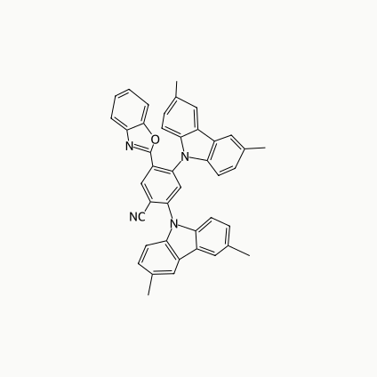 Cc1ccc2c(c1)c1cc(C)ccc1n2-c1cc(-n2c3ccc(C)cc3c3cc(C)ccc32)c(-c2nc3ccccc3o2)cc1C#N